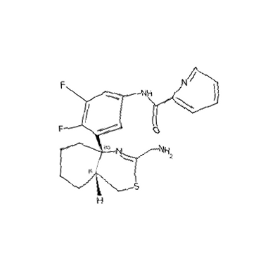 NC1=N[C@@]2(c3cc(NC(=O)c4ccccn4)cc(F)c3F)CCCC[C@H]2CS1